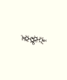 CC1CC(c2ccc3nc(-c4ccc(N(C)C)nc4)cc(=O)n3c2)=CCN1